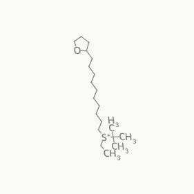 CC[S+](CCCCCCCCCCC1CCCO1)C(C)(C)C